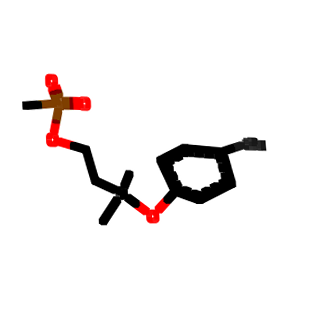 CC(C)(C)c1ccc(O[Si](C)(C)CCOS(C)(=O)=O)cc1